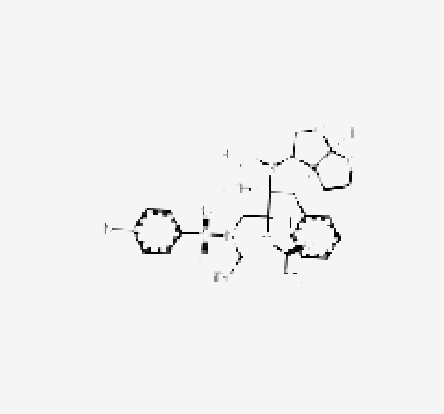 [2H][C@@H](N(CC(C)C)S(=O)(=O)c1ccc(N)cc1)[C@@]([2H])(OC(=O)C(F)(F)F)[C@]([2H])(Cc1ccccc1)N(C(=O)O)C1CO[C@H]2OCC[C@@H]12